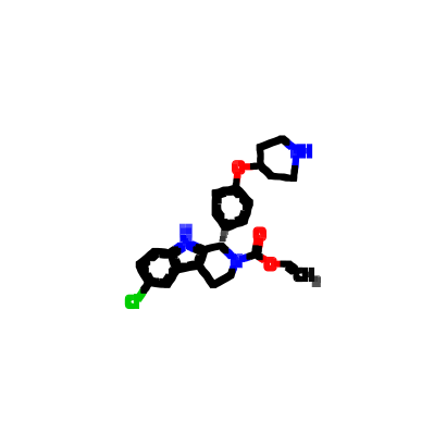 C=COC(=O)N1CCc2c([nH]c3ccc(Cl)cc23)[C@@H]1c1ccc(OC2CCNCC2)cc1